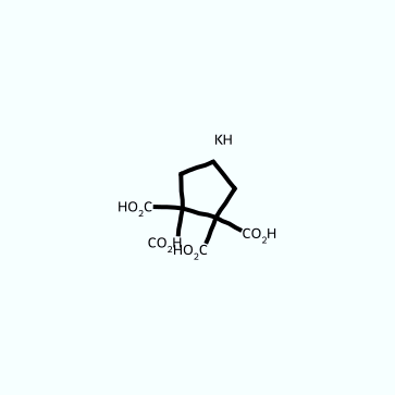 O=C(O)C1(C(=O)O)CCCC1(C(=O)O)C(=O)O.[KH]